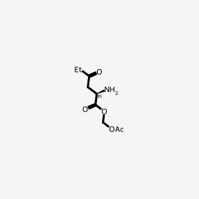 CCC(=O)C[C@@H](N)C(=O)OCOC(C)=O